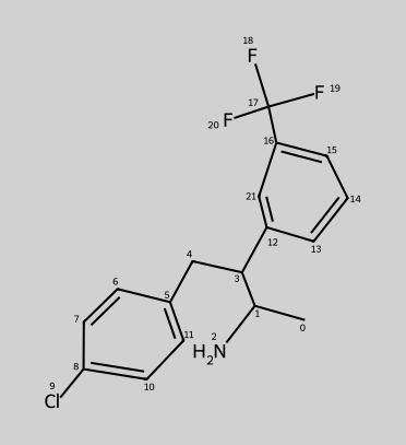 CC(N)C(Cc1ccc(Cl)cc1)c1cccc(C(F)(F)F)c1